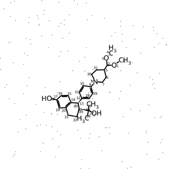 COC(OC)C1CCN(c2ccc([C@@H]3c4ccc(O)cc4CC[C@@H]3C(C)(C)O)cc2)CC1